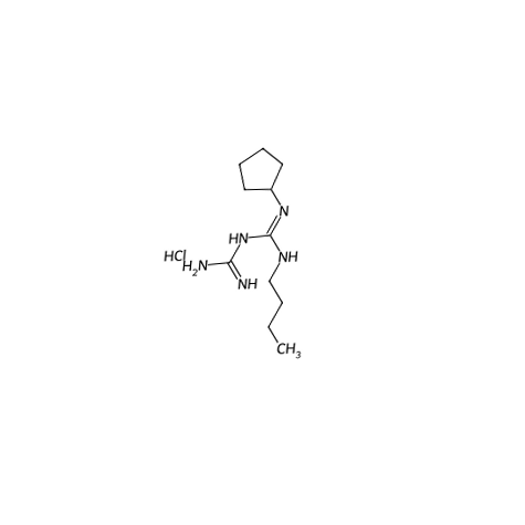 CCCCNC(=NC1CCCC1)NC(=N)N.Cl